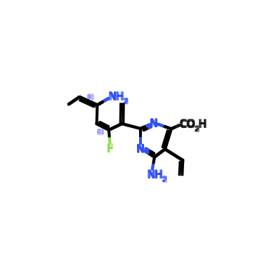 C=Cc1c(N)nc(C(=C)/C(F)=C\C(N)=C/C)nc1C(=O)O